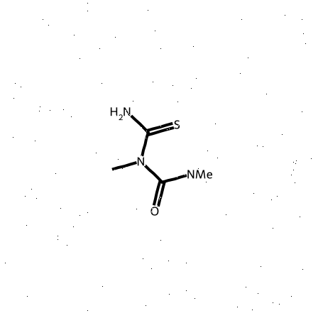 CNC(=O)N(C)C(N)=S